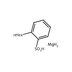 CCCCCCc1ccccc1S(=O)(=O)O.[MgH2]